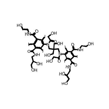 O=C(NCCO)c1c(I)c(C(=O)NCC(O)CO)c(I)c(N(CC(CO)(CO)CN(C(=O)CO)c2c(I)c(C(=O)NCCO)c(I)c(C(=O)NCC(O)CO)c2I)C(=O)CO)c1I